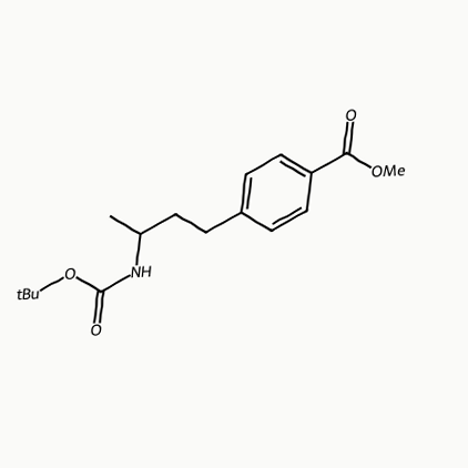 COC(=O)c1ccc(CCC(C)NC(=O)OC(C)(C)C)cc1